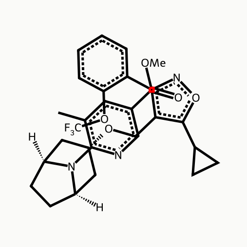 COC(=O)c1cnc(N2[C@@H]3CC[C@H]2C[C@H](OCc2c(-c4ccccc4OC(F)(F)F)noc2C2CC2)C3)c(C)c1